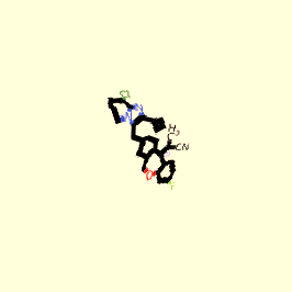 C/C(C#N)=C1\c2ccc(Cc3c(C4=CC=C4)nc4c(Cl)cccn34)cc2COc2cc(F)ccc21